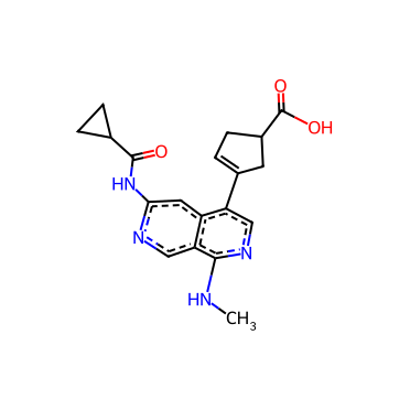 CNc1ncc(C2=CCC(C(=O)O)C2)c2cc(NC(=O)C3CC3)ncc12